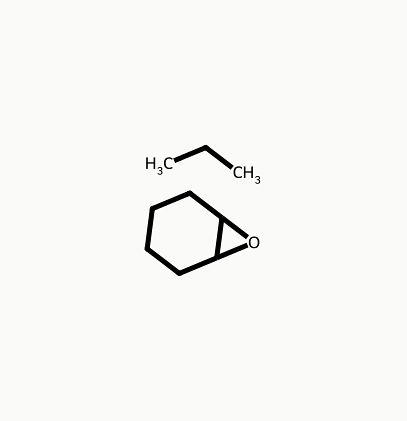 C1CCC2OC2C1.CCC